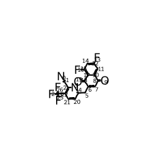 N#Cc1nc(CC2=CC(=O)c3cc(F)cc(F)c3C2=O)ccc1C(F)(F)F